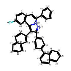 Fc1ccc2cc(-c3ccccc3)n3nc(-c4ccc(-c5cccc6ccccc56)cc4)c(-c4ccc5ccccc5c4)c3c2c1